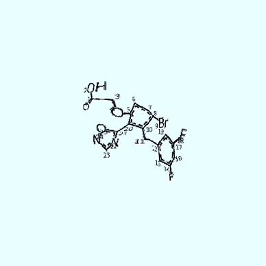 O=C(O)COc1ccc(Br)c(Cc2cc(F)cc(F)c2)c1-c1ncno1